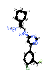 N[C@@H](CNc1cc(-c2ccc(Cl)c(CF)c2)ncn1)c1ccccc1